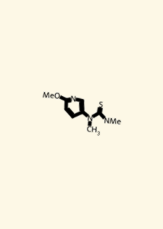 CNC(=S)N(C)c1ccc(OC)nc1